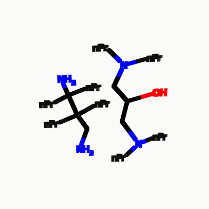 CCCC(N)(CCC)C(CN)(CCC)CCC.CCCN(CCC)CC(O)CN(CCC)CCC